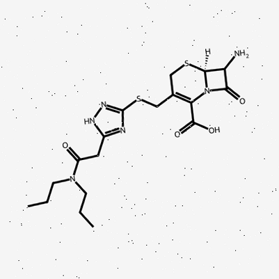 CCCN(CCC)C(=O)Cc1nc(SCC2=C(C(=O)O)N3C(=O)C(N)[C@@H]3SC2)n[nH]1